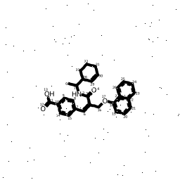 CC(NC(=O)C(=Cc1ccc(C(=O)O)cc1)COc1cccc2ccccc12)C1C=CCCC1